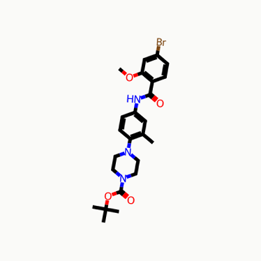 COc1cc(Br)ccc1C(=O)Nc1ccc(N2CCN(C(=O)OC(C)(C)C)CC2)c(C)c1